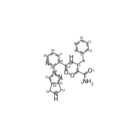 NC(=O)C(=O)C(Cc1ccccc1)NC(=O)c1cccnc1-n1cc2c(n1)CNC2